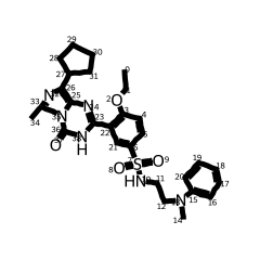 CCOc1ccc(S(=O)(=O)NCCN(C)c2ccccc2)cc1-c1nc2c(C3CCCC3)nc(C)n2c(=O)[nH]1